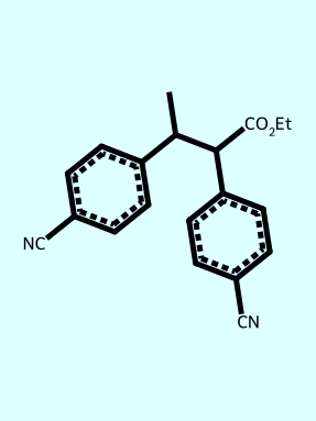 CCOC(=O)C(c1ccc(C#N)cc1)C(C)c1ccc(C#N)cc1